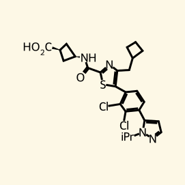 CC(C)n1nccc1-c1ccc(-c2sc(C(=O)N[C@H]3C[C@H](C(=O)O)C3)nc2CC2CCC2)c(Cl)c1Cl